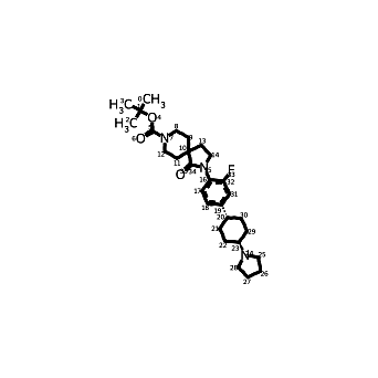 CC(C)(C)OC(=O)N1CCC2(CC1)CCN(c1ccc([C@H]3CC[C@H](N4CCCC4)CC3)cc1F)C2=O